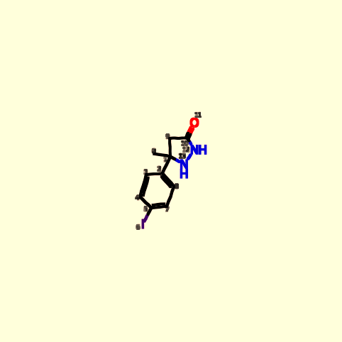 CC1(c2ccc(I)cc2)CC(=O)NN1